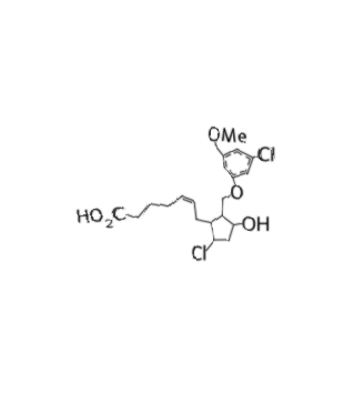 COCc1cc(Cl)cc(OCC2C(O)CC(Cl)C2C/C=C\CCCC(=O)O)c1